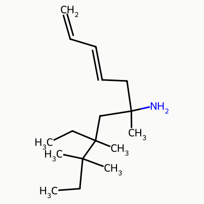 C=C/C=C/CC(C)(N)CC(C)(CC)C(C)(C)CC